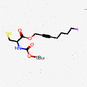 CC(C)(C)OC(=O)NC(CS)C(=O)OCC#CCCCCI